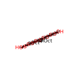 CCCCCCCCC=CCCCCCCCC.OCCOCCOCCOCCOCCOCCOCCOCCOCCOCCO